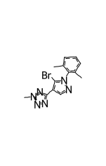 Cc1cccc(C)c1-n1ncc(-c2nnn(C)n2)c1Br